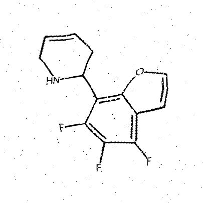 Fc1c(F)c(C2CC=CCN2)c2occc2c1F